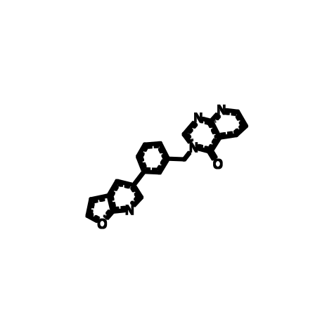 O=c1c2cccnc2ncn1Cc1cccc(-c2cnc3occc3c2)c1